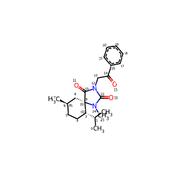 CC(C)[C@@H]1CC[C@@H](C)C[C@@]12C(=O)N(CC(=O)c1ccccc1)C(=O)N2C